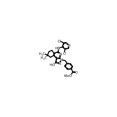 COC(=O)c1ccc(Cn2nc(O)c3c4c(c(Nc5c(Cl)cncc5Cl)nc32)CCC(C)(C)C4)cc1